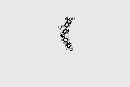 Cc1cc(C(=O)O)c(F)cc1-c1cc2nnn(C3CCN(c4ncc(Cl)cn4)CC3)c2cn1